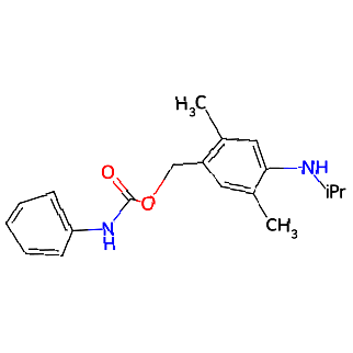 Cc1cc(NC(C)C)c(C)cc1COC(=O)Nc1ccccc1